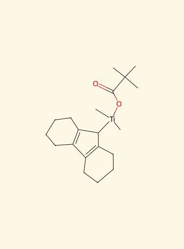 CC(C)(C)C(=O)[O][Ti]([CH3])([CH3])[CH]1C2=C(CCCC2)C2=C1CCCC2